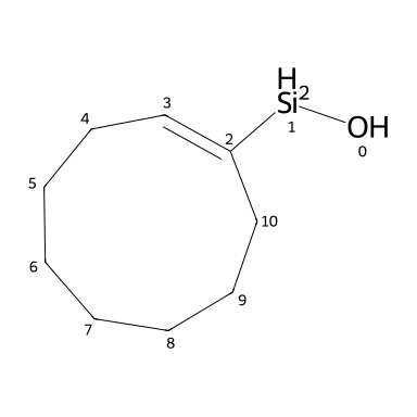 O[SiH2]C1=CCCCCCCC1